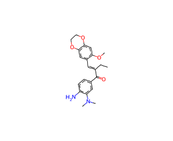 CC/C(=C\c1cc2c(cc1OC)OCCO2)C(=O)c1ccc(N)c(N(C)C)c1